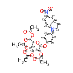 CC(=O)OCC1O[C@H](Oc2ccc(N3CCc4cc([N+](=O)[O-])ccc43)cc2)[C@H](OC(C)=O)C(OC(C)=O)[C@@H]1OC(C)=O